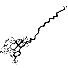 CCCCCCCCCCCCCCCCCCC(c1ccc(O)cc1)C(C(=O)O[Si](C)(C)C)(C(C)(C)C)C(C)(C)C